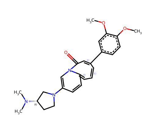 COc1ccc(C2=C\C(=O)N3C=C(N4CC[C@H](N(C)C)C4)C=C\C3=C/C=C/2)cc1OC